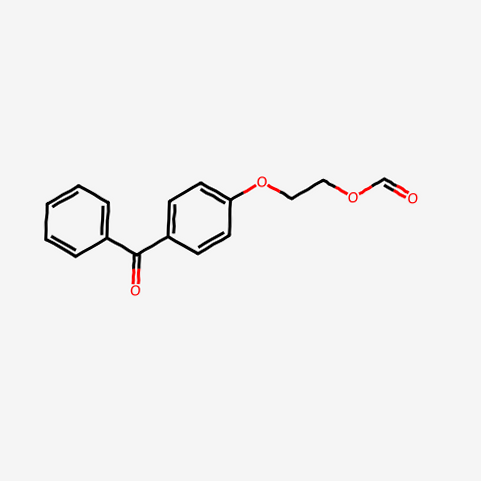 O=COCCOc1ccc(C(=O)c2ccccc2)cc1